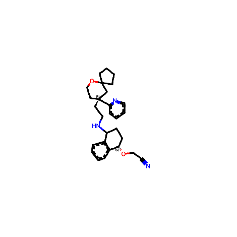 N#CCO[C@H]1CCC(NCC[C@@]2(c3ccccn3)CCOC3(CCCC3)C2)c2ccccc21